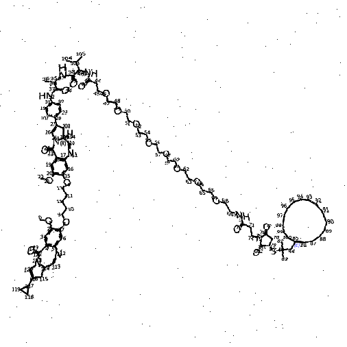 COc1cc2c(cc1OCCCCCOc1cc3c(cc1OC)C(=O)N1C=C(c4ccc(NC(=O)[C@@H](C)NC(=O)[C@H](NC(=O)CCOCCOCCOCCOCCOCCOCCOCCOCCNC(=O)CCN5C(=O)CC(SC(C)(C)C/C6=C/CCCCCCCCCCCCCC6)C5=O)C(C)C)cc4)C[C@@H]1C=N3)N=CC1CC(C3CC3)=CN1C2=O